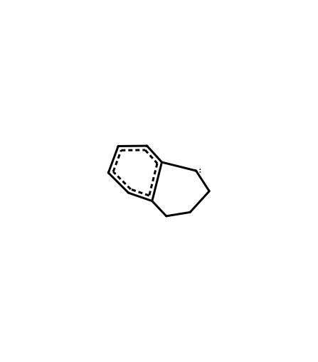 [C]1CCCc2ccccc21